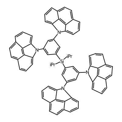 CC(C)[Si](c1cc(-n2c3cccc4ccc5cccc2c5c43)cc(-n2c3cccc4ccc5cccc2c5c43)c1)(c1cc(-n2c3cccc4ccc5cccc2c5c43)cc(-n2c3cccc4ccc5cccc2c5c43)c1)C(C)C